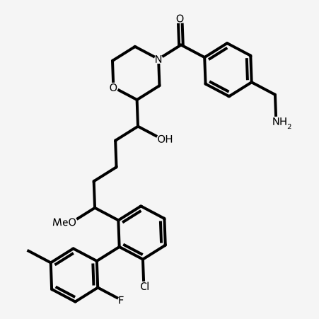 COC(CCCC(O)C1CN(C(=O)c2ccc(CN)cc2)CCO1)c1cccc(Cl)c1-c1cc(C)ccc1F